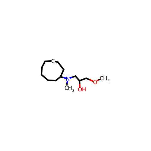 COCC(O)CN(C)C1CCCCCCCC1